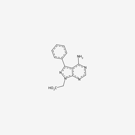 Nc1ncnc2c1c(-c1ccccc1)nn2CC(=O)O